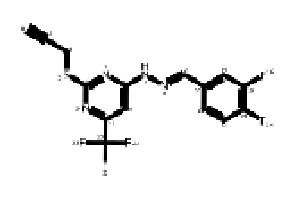 C#CCSc1nc(NN=Cc2ccc(F)c(F)c2)cc(C(F)(F)F)n1